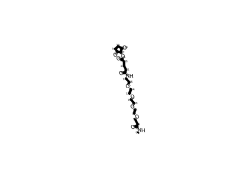 CNC(=O)CCOCCOCCOCCOCCNC(=O)CCCC(=O)OC1C(=O)CCC1=O